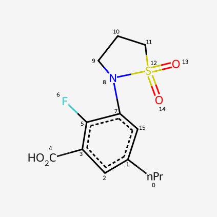 CCCc1cc(C(=O)O)c(F)c(N2CCCS2(=O)=O)c1